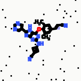 Cc1cc(/C=C/C#N)cc(C)c1Oc1nc(NC23CC(C#N)(C2)C3)nc2nc(-c3cncnc3)[nH]c12